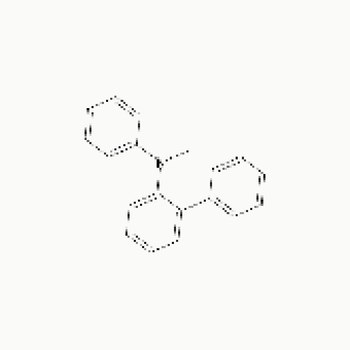 CN(c1ccccc1)c1ccccc1-c1ccccc1